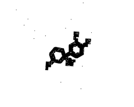 FC1=CC=CC(Br)(c2ccc(F)c(F)c2)C1